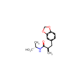 C=C(Cc1ccc2c(c1)OCO2)C(=O)N[C@@H](C)C(=O)O